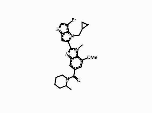 COc1cc(C(=O)N2CCCCC2C)cc2nc(-c3cc4scc(Br)c4n3CC3CC3)n(C)c12